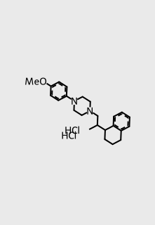 COc1ccc(N2CCN(CC(C)C3CCCc4ccccc43)CC2)cc1.Cl.Cl